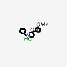 COc1cccc(C2(O)CCCN(Cc3ccccc3)C2)c1.Cl